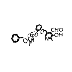 Cc1ncc(COc2ccccc2O[P+]([O-])=N[C@@H](C)C(=O)OCc2ccccc2)c(C=O)c1O